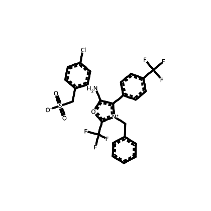 Nc1oc(C(F)(F)F)[n+](Cc2ccccc2)c1-c1ccc(C(F)(F)F)cc1.O=S(=O)([O-])Cc1ccc(Cl)cc1